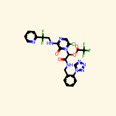 O=C(NCc1ccccc1-n1cnnn1)C(OC(=O)C(F)(F)F)n1c(Cl)cnc(NCC(F)(F)c2ccccn2)c1=O